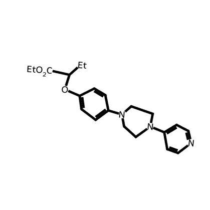 CCOC(=O)C(CC)Oc1ccc(N2CCN(c3ccncc3)CC2)cc1